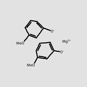 COc1cccc([O-])c1.COc1cccc([O-])c1.[Mg+2]